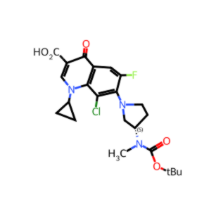 CN(C(=O)OC(C)(C)C)[C@H]1CCN(c2c(F)cc3c(=O)c(C(=O)O)cn(C4CC4)c3c2Cl)C1